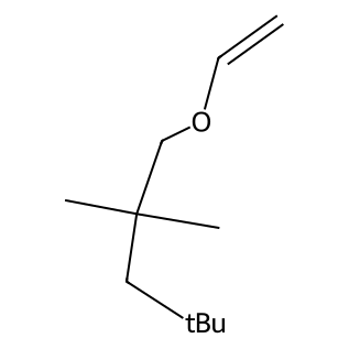 C=COCC(C)(C)CC(C)(C)C